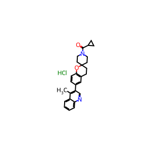 Cc1c(-c2ccc3c(c2)CCC2(CCN(C(=O)C4CC4)CC2)O3)cnc2ccccc12.Cl